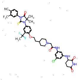 CC(F)(F)c1cc(N2C(=S)N(c3ccc(C#N)c(C(F)(F)F)c3)C(=O)C2(C)C)ccc1OCCC1CCN(CC(=O)Nc2cc(Cl)cc(NC3CCC(=O)NC3=O)c2)CC1